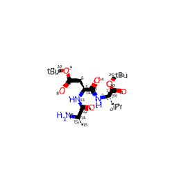 CC(C)[C@H](NC(=O)[C@H](CC(=O)OC(C)(C)C)NC(=O)[C@H](C)N)C(=O)OC(C)(C)C